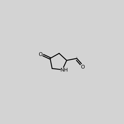 O=[C]C1CC(=O)CN1